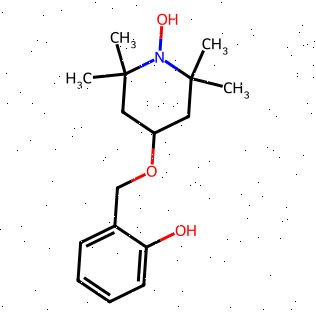 CC1(C)CC(OCc2ccccc2O)CC(C)(C)N1O